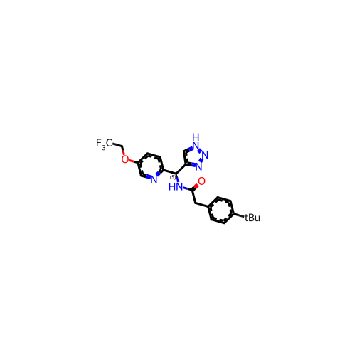 CC(C)(C)c1ccc(CC(=O)N[C@@H](c2ccc(OCC(F)(F)F)cn2)c2c[nH]nn2)cc1